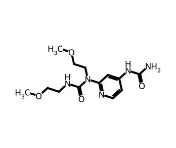 COCCNC(=O)N(CCOC)c1cc(NC(N)=O)ccn1